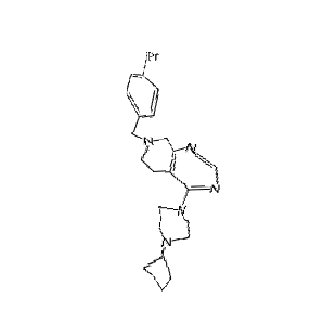 CC(C)c1ccc(CN2CCc3c(ncnc3N3CCN(C4CCC4)CC3)C2)cc1